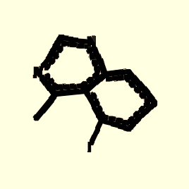 Cc1ncnc2cccc(I)c12